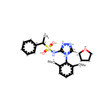 COc1cccc(OC)c1-n1c(NS(=O)(=O)C(C)c2ccccc2)nnc1[C@H]1CCCO1